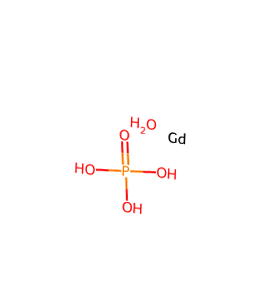 O.O=P(O)(O)O.[Gd]